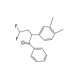 Cc1ccc(C(CC(F)F)C(=O)c2ccccc2)cc1C